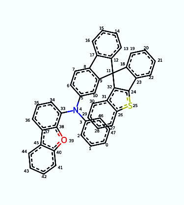 c1ccc(N(c2ccc3c(c2)C2(c4ccccc4-3)c3ccccc3-c3sc4ccccc4c32)c2cccc3c2oc2ccccc23)cc1